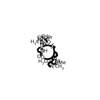 CCn1c(-c2cccnc2[C@H](C)OC)c2c3cc(ccc31)-c1csc(n1)C[C@H](NC(=O)[C@H](C(C)C)N(C)C(=O)N(C)C)C(=O)N1CCC[C@H](N1)C(=O)OCC(C)(C)C2